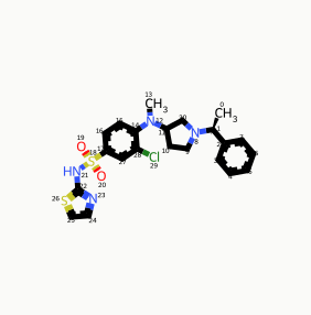 C[C@@H](c1ccccc1)N1CCC(N(C)c2ccc(S(=O)(=O)Nc3nccs3)cc2Cl)C1